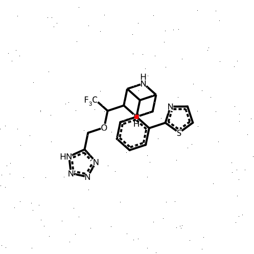 FC(F)(F)C(OCc1nnn[nH]1)C1NCC2NC1C2c1ccccc1-c1nccs1